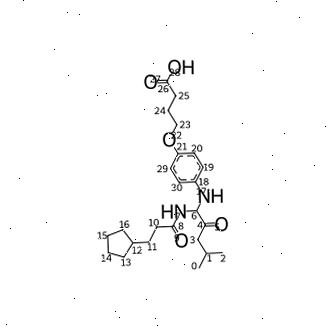 CC(C)CC(=O)C(NC(=O)CCC1CCCC1)Nc1ccc(OCCCC(=O)O)cc1